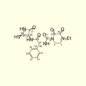 CCN1CCN(C(=O)N[C@@H](C(=O)N[C@@H]2C(=O)N[C@@H]2S)c2ccccc2)C(=O)C1=O